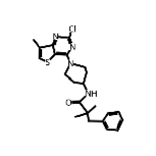 Cc1csc2c(N3CCC(NC(=O)C(C)(C)Cc4ccccc4)CC3)nc(Cl)nc12